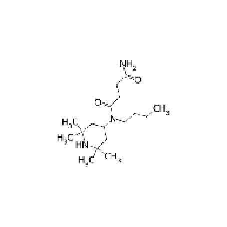 CCCCN(C(=O)CCC(N)=O)C1CC(C)(C)NC(C)(C)C1